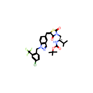 CC(C)[C@H](CN1C(=O)SC(=Cc2ccc3c(cnn3Cc3ccc(Cl)cc3C(F)(F)F)c2)C1=O)NC(=O)OC(C)(C)C